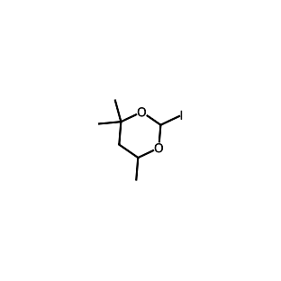 CC1CC(C)(C)OC(I)O1